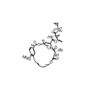 C=CC1C[C@]1(NC(=O)[C@@H]1C[C@@H]2CN1C(=O)[C@H](C(C)(C)C)NC(=O)OCCCC/C=C\Cc1cc(ccc1OC)NC(=O)O2)C(=O)NS(=O)(=O)C1CC1